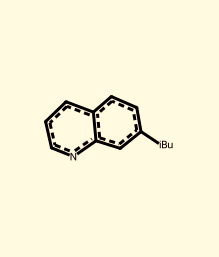 CCC(C)c1ccc2cccnc2c1